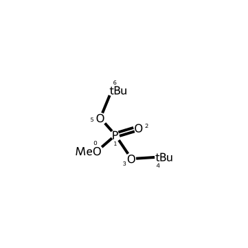 COP(=O)(OC(C)(C)C)OC(C)(C)C